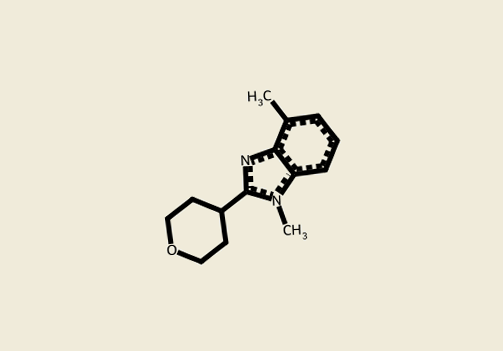 Cc1cccc2c1nc(C1CCOCC1)n2C